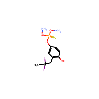 CC(I)(I)Cc1cc(OP(=S)(ON)ON)ccc1O